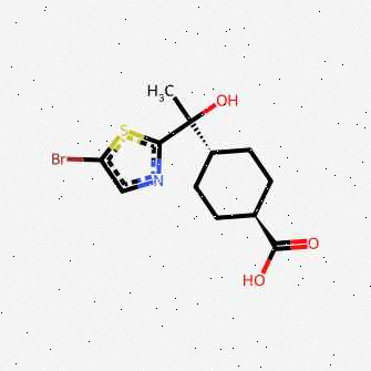 CC(O)(c1ncc(Br)s1)[C@H]1CC[C@H](C(=O)O)CC1